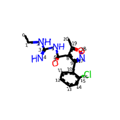 CCNC(=N)NC(=O)c1c(-c2ccccc2Cl)noc1C